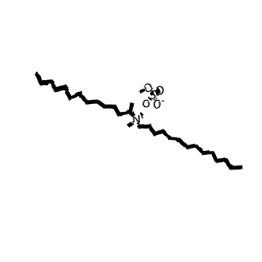 CCCCCCCCCCCCCC[N+](C)(C)C(C)CCCCCCCCCCCC.COS(=O)(=O)[O-]